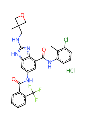 Cc1c(Cl)cccc1NC(=O)c1cc(NC(=O)c2ccccc2C(F)(F)F)cc2[nH]c(NCC3(C)COC3)nc12.Cl